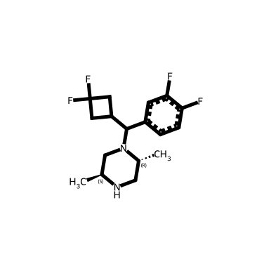 C[C@@H]1CN[C@@H](C)CN1C(c1ccc(F)c(F)c1)C1CC(F)(F)C1